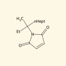 CCCCCCCC(C)(CC)N1C(=O)C=CC1=O